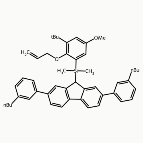 C=CCOc1c(C(C)(C)C)cc(OC)cc1[Si](C)(C)C1c2cc(-c3cccc(CCCC)c3)ccc2-c2ccc(-c3cccc(CCCC)c3)cc21